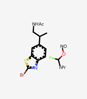 CC(=O)NCC(C)c1ccc2nc(Br)sc2c1.CCCC(F)ON=O